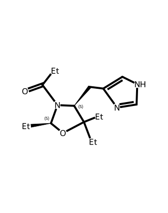 CCC(=O)N1[C@H](CC)OC(CC)(CC)[C@@H]1Cc1c[nH]cn1